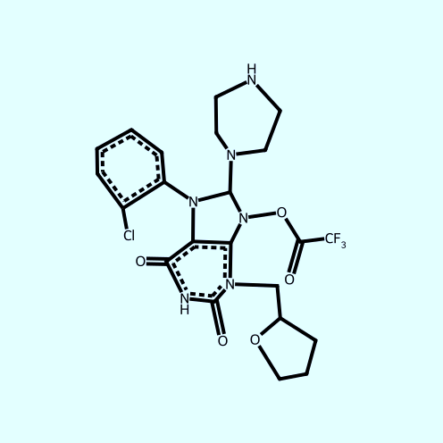 O=C(ON1c2c(c(=O)[nH]c(=O)n2CC2CCCO2)N(c2ccccc2Cl)C1N1CCNCC1)C(F)(F)F